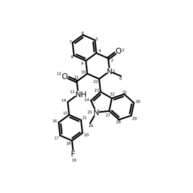 CN1C(=O)c2ccccc2C(C(=O)NCc2ccc(F)cc2)C1c1cn(C)c2ccccc12